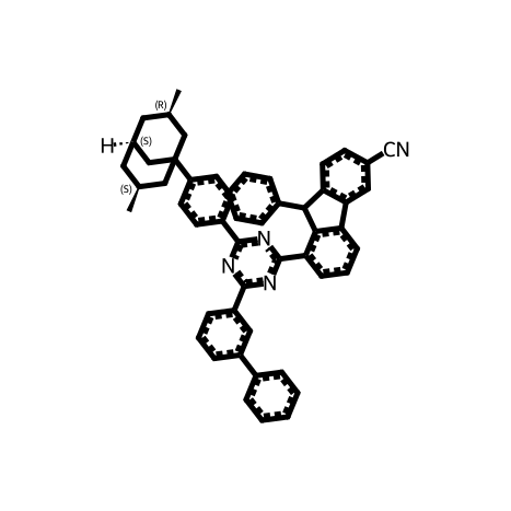 C[C@@H]1C[C@@H]2C[C@H](C)CC(c3ccc(-c4nc(-c5cccc(-c6ccccc6)c5)nc(-c5cccc6c5C(c5ccccc5)c5ccc(C#N)cc5-6)n4)cc3)(C1)C2